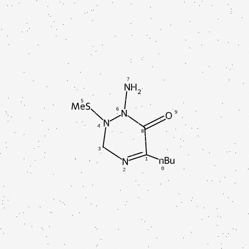 CCCCC1=NCN(SC)N(N)C1=O